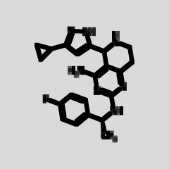 C[C@H](Nc1nc(N)c2c(n1)CCNC2c1cc(C2CC2)n[nH]1)c1ccc(F)cc1